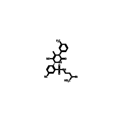 CCN(CCNS(=O)(=O)c1cc(C#N)ccc1[C@H]1NC(=O)N(c2cccc(C(F)(F)F)c2)C(C)=C1C#N)C(=O)O